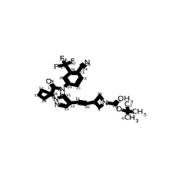 CC(C)(C)OC(=O)N1CC(C#Cc2cnn(C3(C(=O)Nc4ccc(C#N)c(C(F)(F)F)c4)CCC3)c2)C1